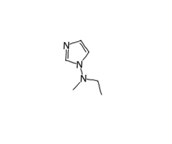 CCN(C)n1ccnc1